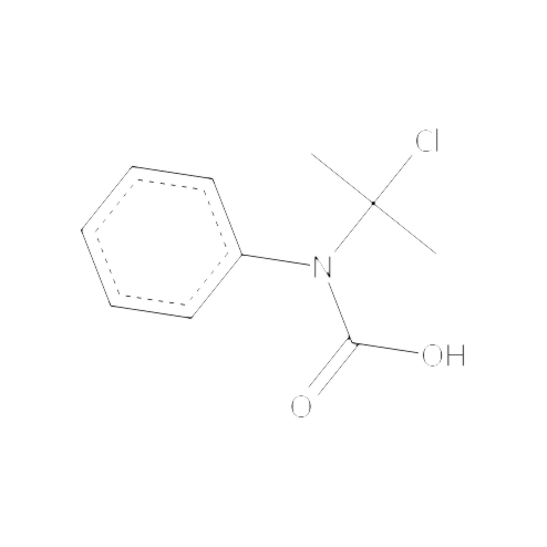 CC(C)(Cl)N(C(=O)O)c1ccccc1